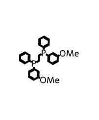 COc1cccc(P(CCP(c2ccccc2)c2cccc(OC)c2)c2ccccc2)c1